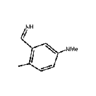 CNc1ccc(C)c(C=N)c1